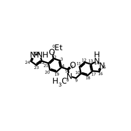 CCOc1cc(C(=O)N(C)Cc2ccc3[nH]ncc3c2)ccc1-c1ccn[nH]1